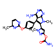 Cc1ccnc(Oc2ccc(-c3c(-c4cc(OC(N)=O)nn4C)n(C)c4ncnc(N)c34)cc2)n1